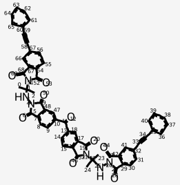 CC(C)(NN1C(=O)c2ccc(C(=O)c3ccc4c(c3)C(=O)N(C(C)(C)NN3C(=O)c5ccc(C#Cc6ccccc6)cc5C3=O)C4=O)cc2C1=O)N1C(=O)c2ccc(C#Cc3ccccc3)cc2C1=O